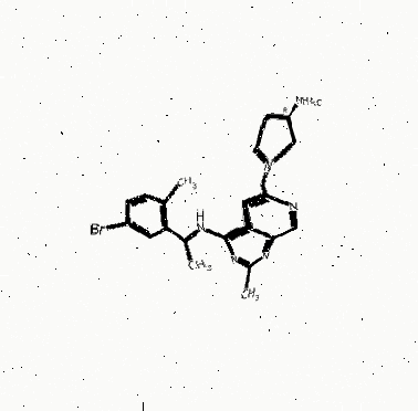 CC(=O)N[C@@H]1CCN(c2cc3c(NC(C)c4cc(Br)ccc4C)nc(C)nc3cn2)C1